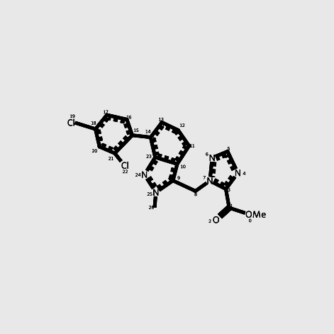 COC(=O)c1ncnn1Cc1c2cccc(-c3ccc(Cl)cc3Cl)c2nn1C